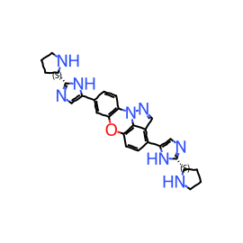 c1cc2c(cc1-c1cnc([C@@H]3CCCN3)[nH]1)Oc1ccc(-c3cnc([C@@H]4CCCN4)[nH]3)c3cnn-2c13